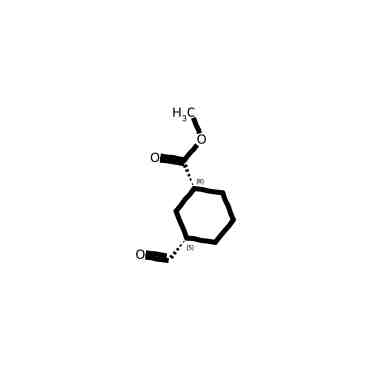 COC(=O)[C@@H]1CCC[C@H](C=O)C1